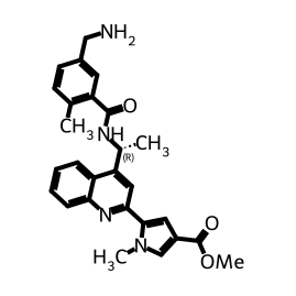 COC(=O)c1cc(-c2cc([C@@H](C)NC(=O)c3cc(CN)ccc3C)c3ccccc3n2)n(C)c1